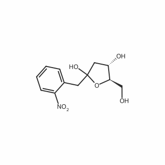 O=[N+]([O-])c1ccccc1CC1(O)C[C@H](O)[C@@H](CO)O1